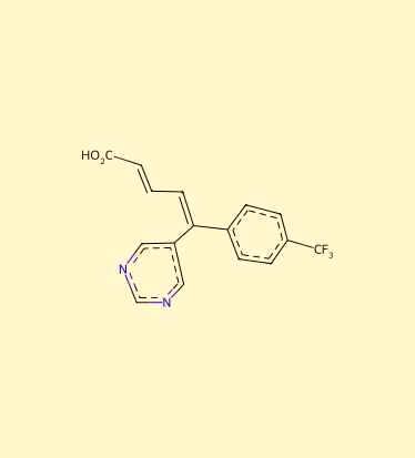 O=C(O)C=CC=C(c1ccc(C(F)(F)F)cc1)c1cncnc1